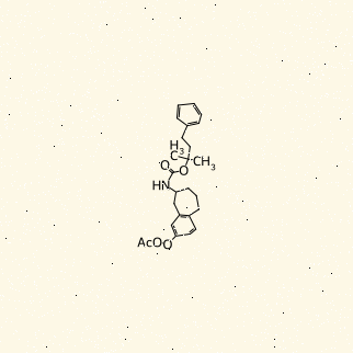 CC(=O)OOc1ccc2c(c1)CC(NC(=O)OC(C)(C)CCc1ccccc1)CCC2